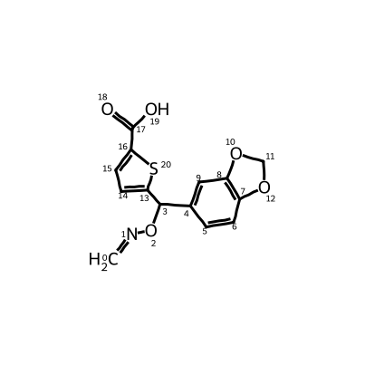 C=NOC(c1ccc2c(c1)OCO2)c1ccc(C(=O)O)s1